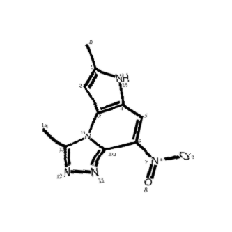 Cc1cc2c(cc([N+](=O)[O-])c3nnc(C)n32)[nH]1